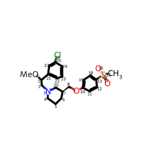 COC(CN1CCC[C@H](COc2ccc(S(C)(=O)=O)cc2)C1)c1cccc(Cl)c1